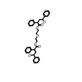 O=C(OCCOCCOC(=O)C(CC(Cl)c1ccccc1)c1ccccc1)C(CC(Cl)c1ccccc1)c1ccccc1